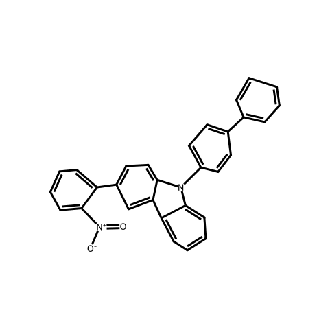 O=[N+]([O-])c1ccccc1-c1ccc2c(c1)c1ccccc1n2-c1ccc(-c2ccccc2)cc1